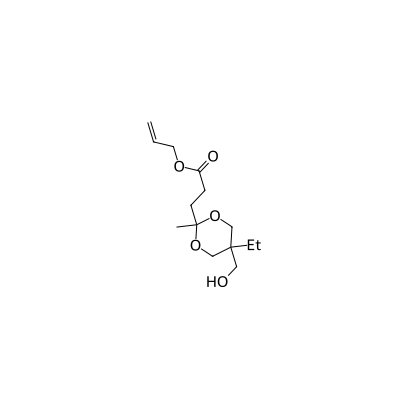 C=CCOC(=O)CCC1(C)OCC(CC)(CO)CO1